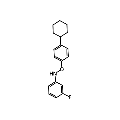 Fc1cccc(NOc2ccc(C3CCCCC3)cc2)c1